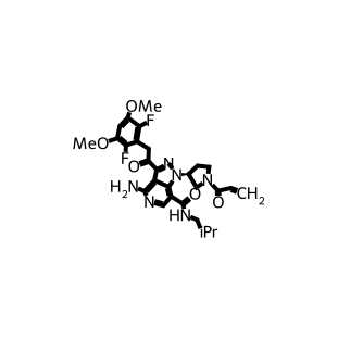 C=CC(=O)N1CC[C@H](n2nc(C(=O)Cc3c(F)c(OC)cc(OC)c3F)c3c(N)ncc(C(=O)NCC(C)C)c32)C1